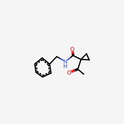 CC(=O)C1(C(=O)NCc2ccccc2)CC1